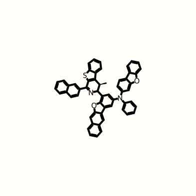 C[C@@H]1c2c(sc3ccccc23)C(c2ccc3ccccc3c2)=NC1c1cc(N(c2ccccc2)c2ccc3c(c2)oc2ccccc23)cc2c1oc1cc3ccccc3cc12